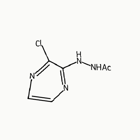 CC(=O)NNc1nccnc1Cl